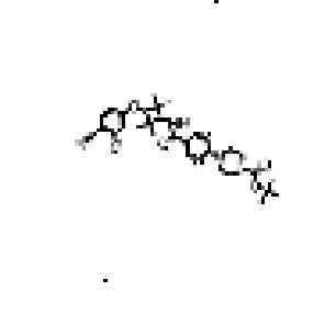 CC(C)(C)OC(=O)N1CCN(c2ccc(C(=O)NC3C(C)(C)C(Oc4ccc(C#N)c(Cl)c4)C3(C)C)cn2)CC1